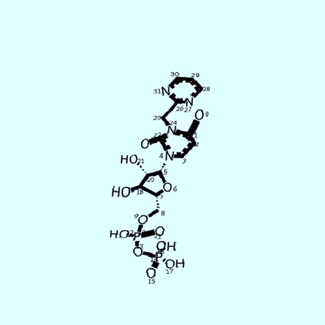 O=c1ccn([C@@H]2O[C@H](COP(=O)(O)OP(=O)(O)O)C(O)[C@@H]2O)c(=O)n1Cc1ncccn1